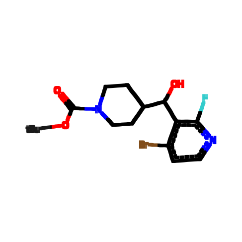 CC(C)(C)OC(=O)N1CCC(C(O)c2c(Br)ccnc2F)CC1